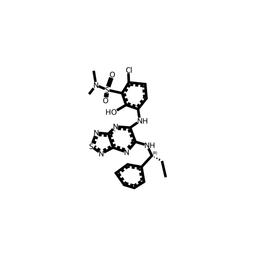 CC[C@@H](Nc1nc2nsnc2nc1Nc1ccc(Cl)c(S(=O)(=O)N(C)C)c1O)c1ccccc1